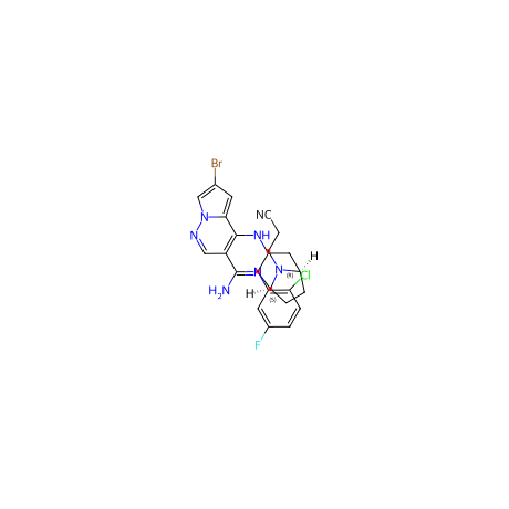 N#CCCN1[C@@H]2CC[C@H]1CC(Nc1c(C(N)=Nc3cc(F)ccc3Cl)cnn3cc(Br)cc13)C2